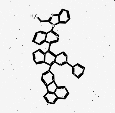 CCc1nc2ccccc2n1-c1ccc(-c2c3ccccc3c(-c3ccc4c(c3)-c3cccc5cccc-4c35)c3cc(-c4ccccc4)ccc23)c2ccccc12